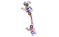 CC1(O)c2ccc(OCCCOCCCOc3ccc(C(=O)N[C@H]4C(C)(C)[C@H](Oc5ccc(C#N)c6ncccc56)C4(C)C)cc3)cc2C(=O)N1C1CCC(=O)NC1=O